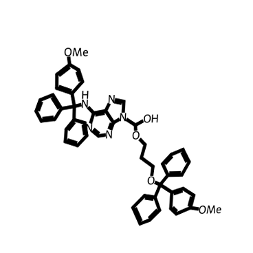 COc1ccc(C(Nc2ncnc3c2ncn3C(O)OCCCOC(c2ccccc2)(c2ccccc2)c2ccc(OC)cc2)(c2ccccc2)c2ccccc2)cc1